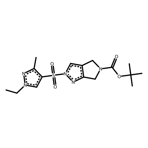 CCn1cc(S(=O)(=O)n2cc3c(n2)CN(C(=O)OC(C)(C)C)C3)c(C)n1